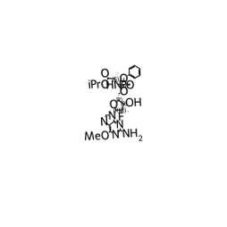 COc1nc(N)nc2c1ncn2[C@@H]1O[C@H](CO[P@](=O)(N[C@@H](C)C(=O)OC(C)C)Oc2ccccc2)[C@@H](O)[C@@]1(C)F